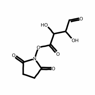 O=CC(O)C(O)C(=O)ON1C(=O)CCC1=O